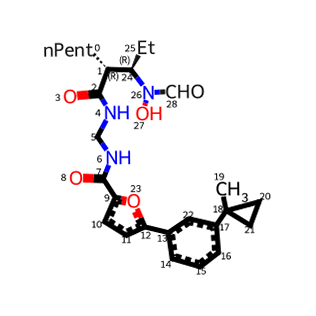 CCCCC[C@@H](C(=O)NCNC(=O)c1ccc(-c2cccc(C3(C)CC3)c2)o1)[C@@H](CC)N(O)C=O